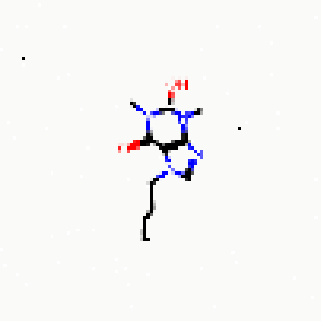 CCCCn1cnc2c1C(=O)N(C)C(O)N2C